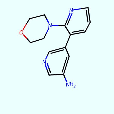 Nc1cncc(-c2cccnc2N2CCOCC2)c1